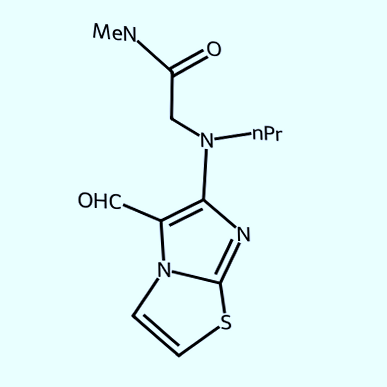 CCCN(CC(=O)NC)c1nc2sccn2c1C=O